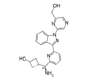 N[C@H](c1cccc(-c2nn(-c3cncc(CO)n3)c3ccccc23)n1)C1CC(O)C1